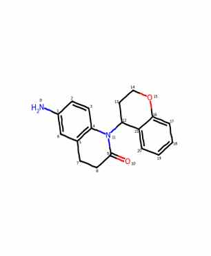 Nc1ccc2c(c1)CCC(=O)N2C1CCOc2ccccc21